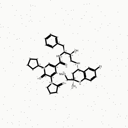 CCc1ccc2c(c1)[C@@H](NC[C@H](O)[C@H](Cc1ccccc1)NC(=O)c1cc(N3CCCC3=O)c(=O)n(C3CCCC3)c1)C[C@](C)(COC)O2